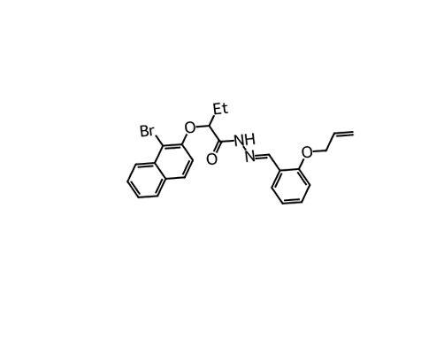 C=CCOc1ccccc1/C=N/NC(=O)C(CC)Oc1ccc2ccccc2c1Br